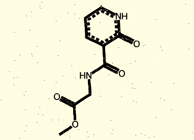 COC(=O)CNC(=O)c1cc[c][nH]c1=O